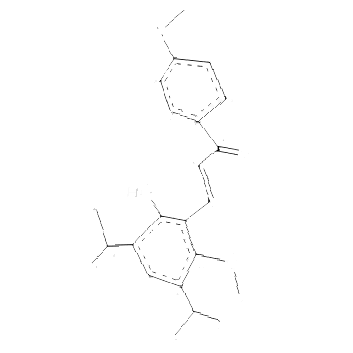 CNc1ccc(C(=O)C=Cc2c(O)c(C(C)C)cc(C(C)C)c2OC)cc1